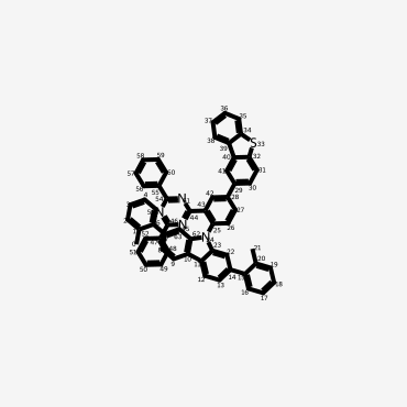 Cc1ccccc1-c1ccc2c3ccc(-c4ccccc4C)cc3n(-c3ccc(-c4ccc5sc6ccccc6c5c4)cc3-c3nc(-c4ccccc4)nc(-c4ccccc4)n3)c2c1